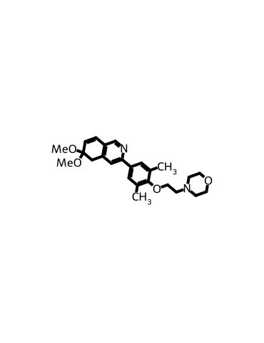 COC1(OC)C=Cc2cnc(-c3cc(C)c(OCCN4CCOCC4)c(C)c3)cc2C1